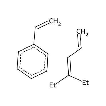 C=CC=C(CC)CC.C=Cc1ccccc1